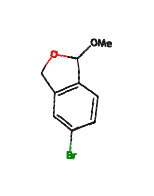 COC1OCc2cc(Br)ccc21